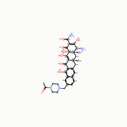 CC(=O)N1CCN(Cc2ccc3cc4c(c(O)c3c2)C(=O)C2=C(O)[C@]3(O)C(=O)C(C(N)=O)=C(O)[C@@H](N)[C@@H]3C[C@@H]2C4)CC1